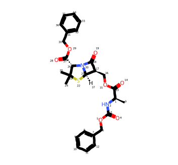 C[C@@H](NC(=O)OCc1ccccc1)C(=O)OC[C@@H]1C(=O)N2[C@@H]1SC(C)(C)[C@@H]2C(=O)OCc1ccccc1